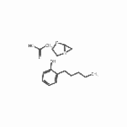 C1CN2CC2O1.CC(=O)O.CCCCCc1ccccc1O